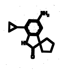 Nc1cc(C2CC2)c2c(c1)C1(CCCC1)C(=O)N2